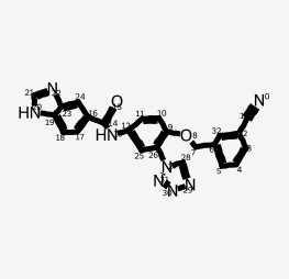 N#Cc1cccc(COc2ccc(NC(=O)c3ccc4[nH]cnc4c3)cc2-n2cnnn2)c1